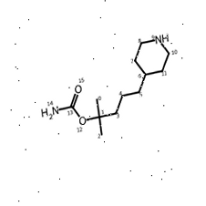 CC(C)(CCCC1CCNCC1)OC(N)=O